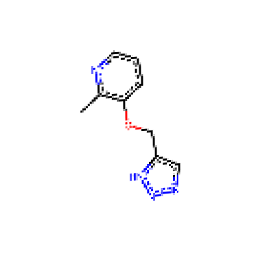 Cc1ncccc1OCc1cnn[nH]1